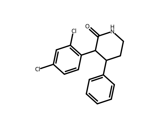 O=C1NCCC(c2ccccc2)C1c1ccc(Cl)cc1Cl